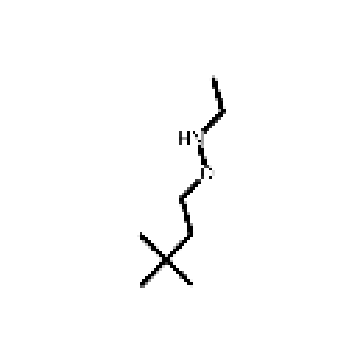 CCNOCCC(C)(C)C